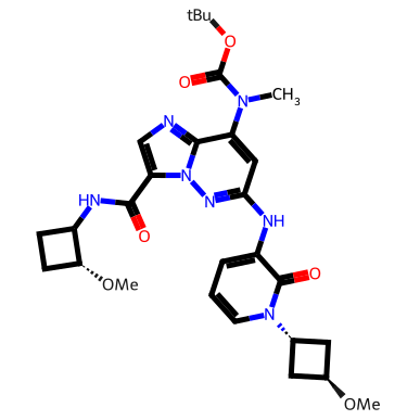 CO[C@@H]1CCC1NC(=O)c1cnc2c(N(C)C(=O)OC(C)(C)C)cc(Nc3cccn([C@H]4C[C@H](OC)C4)c3=O)nn12